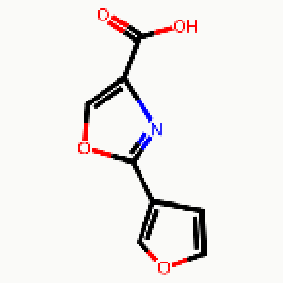 O=C(O)c1coc(-c2ccoc2)n1